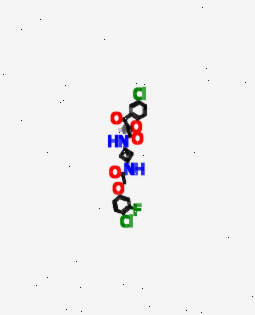 C[C@@]1(C(=O)NC23CC(NC(=O)COc4ccc(Cl)c(F)c4)(C2)C3)Oc2ccc(Cl)cc2C1=O